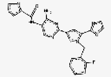 Nc1nc(-c2cc(-c3ncco3)n(Cc3ccccc3F)n2)ncc1NC(=O)c1cscn1